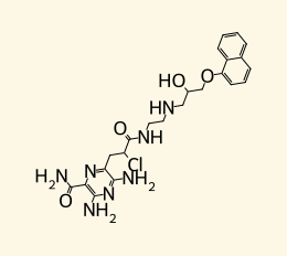 NC(=O)c1nc(CC(Cl)C(=O)NCCNCC(O)COc2cccc3ccccc23)c(N)nc1N